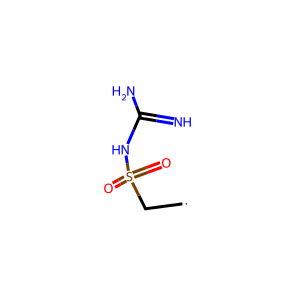 [CH2]CS(=O)(=O)NC(=N)N